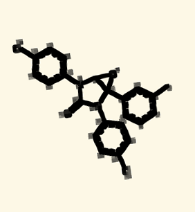 Cc1cccc(C23OC2N(c2ccc(Cl)cc2)C(=O)N3c2ccc(Cl)cc2)c1